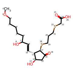 COCCCCCC(O)/C=C/[C@H]1[C@H](O)CC(=O)[C@@H]1SCCCSCC(=O)O